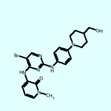 Cn1cccc(Nc2nc(Nc3ccc(N4CCC(CO)CC4)cc3)ncc2Br)c1=O